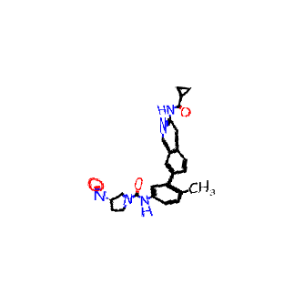 Cc1ccc(NC(=O)N2CC[C@H](N=O)C2)cc1-c1ccc2cc(NC(=O)C3CC3)ncc2c1